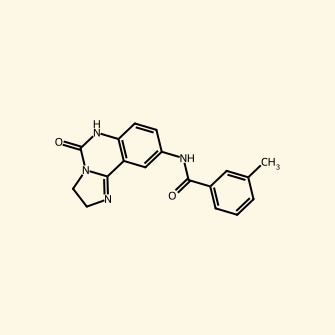 Cc1cccc(C(=O)Nc2ccc3c(c2)C2=NCCN2C(=O)N3)c1